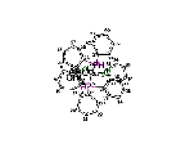 O=[CH][Ru]([Cl])([Cl])([CH]=O)([PH](c1ccccc1)(c1ccccc1)c1ccccc1)[PH](c1ccccc1)(c1ccccc1)c1ccccc1